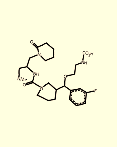 CNCC(CN1CCCCC1=O)NC(=O)N1CCCC(C(OCCNC(=O)O)c2cccc(F)c2)C1